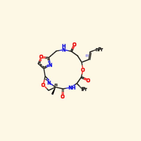 CCC/C=C/C1CC(=O)NCc2nc(co2)C2=N[C@@](C)(CO2)C(=O)NC(C(C)C)C(=O)O1